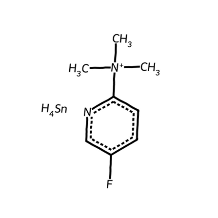 C[N+](C)(C)c1ccc(F)cn1.[SnH4]